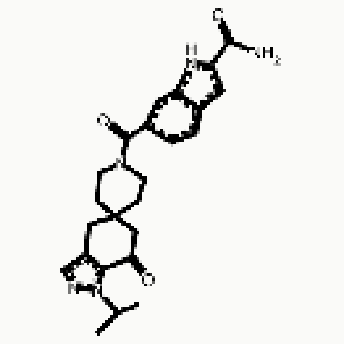 CC(C)n1ncc2c1C(=O)CC1(CCN(C(=O)c3ccc4cc(C(N)=O)[nH]c4c3)CC1)C2